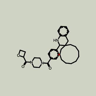 O=C(c1ccc(C2Nc3ccccc3CC23CCCCCCCCCC3)cc1)N1CCN(C(=O)C2CCO2)CC1